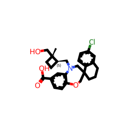 C[C@]1(CO)CC[C@@H]1CN1CC2(CCCc3cc(Cl)ccc32)COc2ccc(C(=O)O)cc21